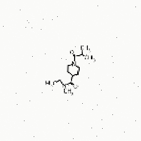 CCN(C)C(=O)C1CCN(C(=O)C(C)C)CC1